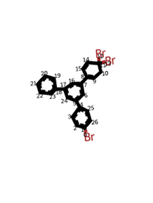 Brc1ccc(-c2cc(C3=CCC(Br)(Br)C=C3)cc(-c3ccccc3)c2)cc1